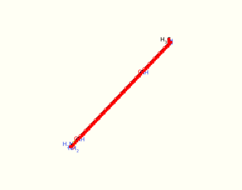 Cc1cn(CCOCCOCCOCCOCCOCCOCCOCCOCCOCCOCCNC(=O)CCOCCOCCOCCOCCOCCOCCOCCOCCOCCOCCOCCOCCOCCOCCOCCOCCOCCOCCOCCOCCOCCOCCOCCOCCNC(=O)CCSSC[C@H](N)C(=O)CN)nn1